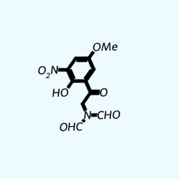 COc1cc(C(=O)CN(C=O)C=O)c(O)c([N+](=O)[O-])c1